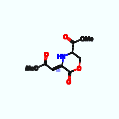 COC(=O)/C=C1\NC(C(=O)OC)COC1=O